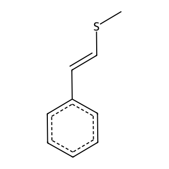 CS/C=C/c1ccccc1